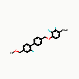 CCOCc1ccc(-c2ccc(COc3ccc(OC)c(F)c3F)cc2)c(F)c1